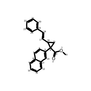 COC(=O)C1(c2ccc3ccccc3c2)CC1/C=C/c1ccccc1